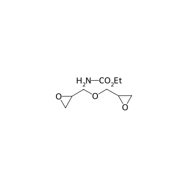 C(OCC1CO1)C1CO1.CCOC(N)=O